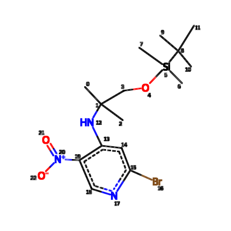 CC(C)(CO[Si](C)(C)C(C)(C)C)Nc1cc(Br)ncc1[N+](=O)[O-]